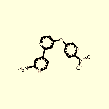 Nc1cc(-c2cc(Oc3ccc([N+](=O)[O-])nc3)ccn2)ccn1